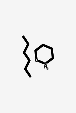 C1CC[SiH2]OC1.CCCCCC